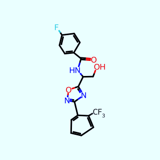 O=C(NC(CO)c1nc(-c2ccccc2C(F)(F)F)no1)c1ccc(F)cc1